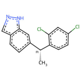 C[C@H](c1ccc2cn[nH]c2c1)c1ccc(Cl)cc1Cl